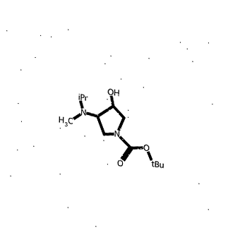 CC(C)N(C)C1CN(C(=O)OC(C)(C)C)CC1O